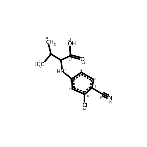 CC(C)C(Nc1ccc(C#N)c(Cl)c1)C(=O)O